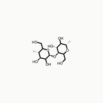 C[C@@H]1OC(CO)[C@@H](O[C@@H]2OC(CO)[C@@H](C)[C@H](O)C2O)[C@H](O)C1O